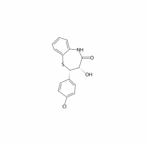 O=C1Nc2ccccc2S[C@@H](c2ccc(Cl)cc2)[C@H]1O